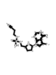 N#CCCOP(O)(=S)OCC1CC[C@H](n2cc(F)c3c(=O)[nH]cnc32)O1